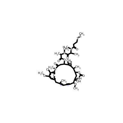 COc1cc2cc(c1Cl)N(C)C(=O)CC(OC(=O)C(C)N(C)C(=O)C(C)N(C)C(=O)CCSSC)C1(C)OC1C(C)C1CC(O)(NC(=O)O1)C(OC)/C=C/C=C(\C)C2